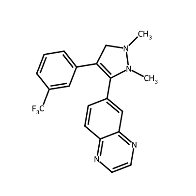 CN1CC(c2cccc(C(F)(F)F)c2)=C(c2ccc3nccnc3c2)N1C